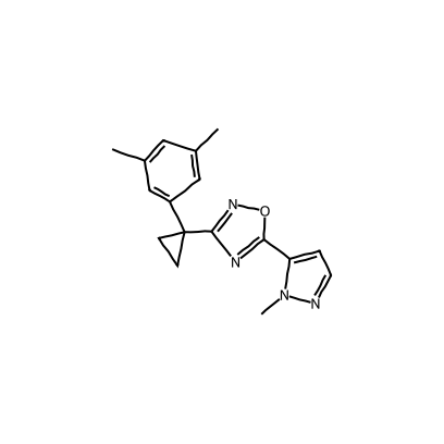 Cc1cc(C)cc(C2(c3noc(-c4ccnn4C)n3)CC2)c1